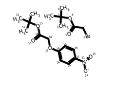 CC(C)(C)OC(=O)CBr.CC(C)(C)OC(=O)COc1ccc([N+](=O)[O-])cc1